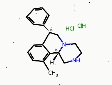 Cc1cccc2c1[C@H]1CNCCN1C[C@H]2c1ccccc1.Cl.Cl